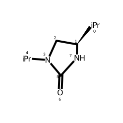 CC(C)[C@@H]1CN(C(C)C)C(=O)N1